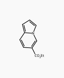 CCOC(=O)c1ccc2cccn2c1